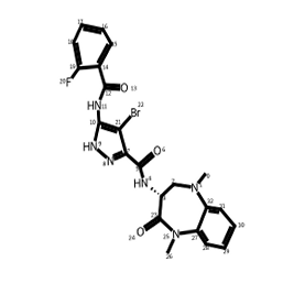 CN1C[C@@H](NC(=O)c2n[nH]c(NC(=O)c3ccccc3F)c2Br)C(=O)N(C)c2ccccc21